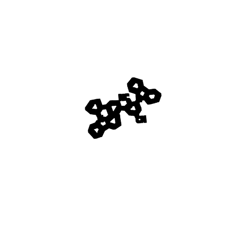 N#Cc1cc(-c2ccc(-c3ccccc3-n3c4ccccc4c4ccccc43)cc2)c(C#N)c(-n2c3ccccc3c3ccccc32)c1